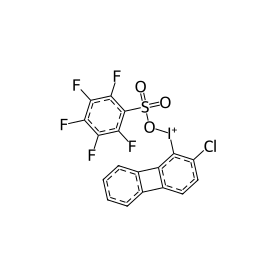 O=S(=O)(O[I+]c1c(Cl)ccc2c1-c1ccccc1-2)c1c(F)c(F)c(F)c(F)c1F